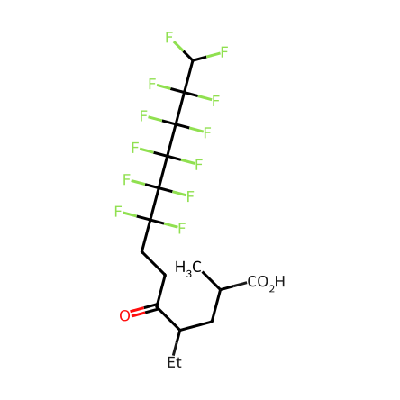 CCC(CC(C)C(=O)O)C(=O)CCC(F)(F)C(F)(F)C(F)(F)C(F)(F)C(F)(F)C(F)F